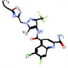 CCc1nc(Cn2nc(C(F)(F)F)c(NC(=O)c3cc(C(N)=O)nc4cc(F)c(Cl)cc34)c2C)no1